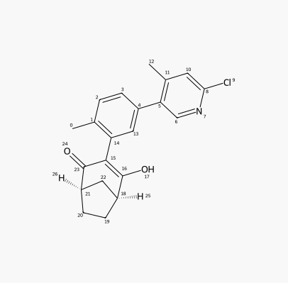 Cc1ccc(-c2cnc(Cl)cc2C)cc1C1=C(O)[C@H]2CC[C@H](C2)C1=O